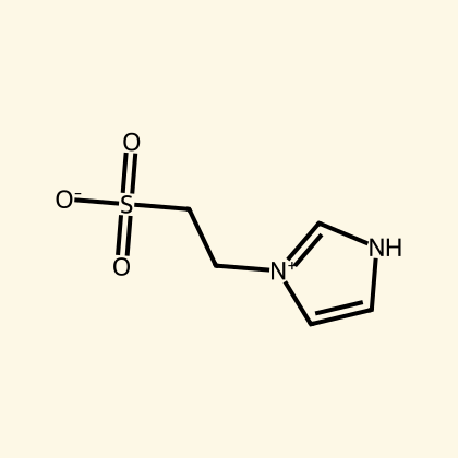 O=S(=O)([O-])CC[n+]1cc[nH]c1